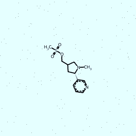 CN1CC(COS(C)(=O)=O)C[C@H]1c1cccnc1